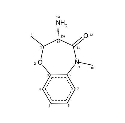 CC1Oc2ccccc2N(C)C(=O)[C@H]1N